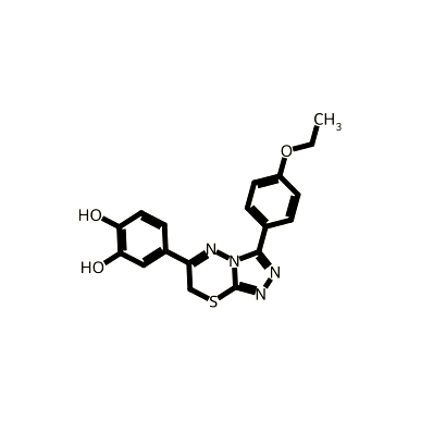 CCOc1ccc(-c2nnc3n2N=C(c2ccc(O)c(O)c2)CS3)cc1